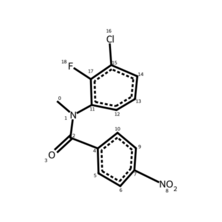 CN(C(=O)c1ccc([N+](=O)[O-])cc1)c1cccc(Cl)c1F